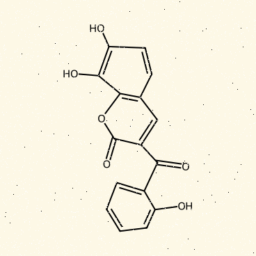 O=C(c1ccccc1O)c1cc2ccc(O)c(O)c2oc1=O